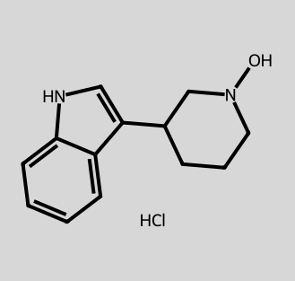 Cl.ON1CCCC(c2c[nH]c3ccccc23)C1